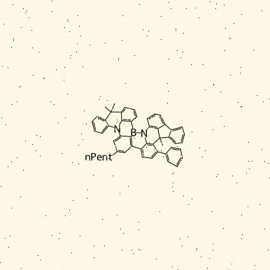 CCCCCc1cc2c3c(c1)N1c4ccccc4C(C)(C)c4cccc(c41)B3N1c3cccc4c3C(C)(c3ccccc3-4)c3c(-c4ccccc4)ccc-2c31